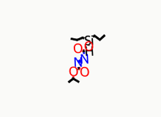 CCC[SiH](CCC)OC(=O)N=NC(=O)OC(C)C